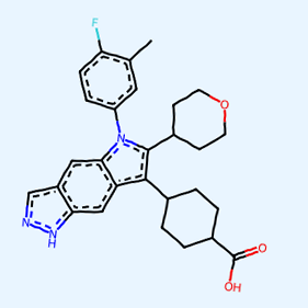 Cc1cc(-n2c(C3CCOCC3)c(C3CCC(C(=O)O)CC3)c3cc4[nH]ncc4cc32)ccc1F